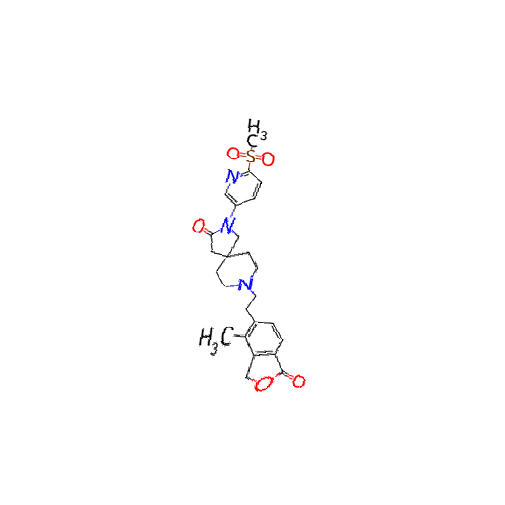 Cc1c(CCN2CCC3(CC2)CC(=O)N(c2ccc(S(C)(=O)=O)nc2)C3)ccc2c1COC2=O